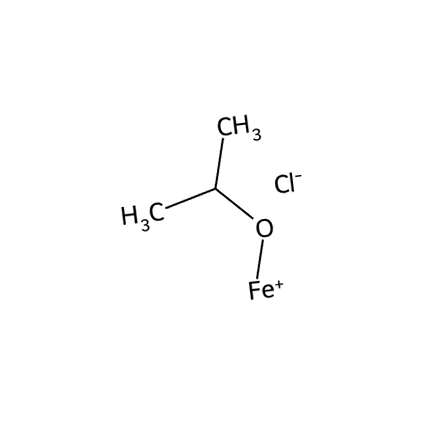 CC(C)[O][Fe+].[Cl-]